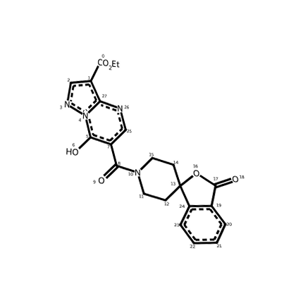 CCOC(=O)c1cnn2c(O)c(C(=O)N3CCC4(CC3)OC(=O)c3ccccc34)cnc12